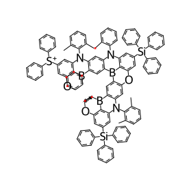 Cc1ccccc1N1c2cc3c(cc2B2c4cc5c(cc4Oc4cc([Si](c6ccccc6)(c6ccccc6)c6ccccc6)cc1c42)N(c1c(C)cccc1C)c1cc([Si](c2ccccc2)(c2ccccc2)c2ccccc2)cc2c1B5c1ccccc1O2)B1c2ccccc2Oc2cc([S+](c4ccccc4)c4ccccc4)cc(c21)N3c1c(C)cccc1C